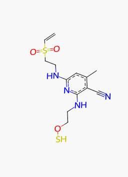 C=CS(=O)(=O)CCNc1cc(C)c(C#N)c(NCCOS)n1